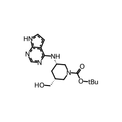 CC(C)(C)OC(=O)N1C[C@H](CO)C[C@H](Nc2ncnc3[nH]ccc23)C1